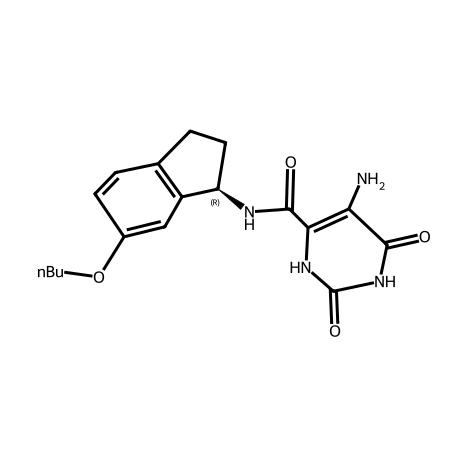 CCCCOc1ccc2c(c1)[C@H](NC(=O)c1[nH]c(=O)[nH]c(=O)c1N)CC2